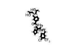 CC(O)CN(Cc1cccc(C(=O)Nc2sc3c(c2C(=O)N/N=C\c2ccc(Cl)c(C(F)(F)F)c2)CCC3)c1)CC(C)O